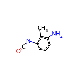 Cc1c(N)cccc1N=C=O